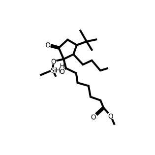 CCCCC1C(C(C)(C)C)CC(=O)C1(O[SiH](C)C)C(O)CCCCCC(=O)OC